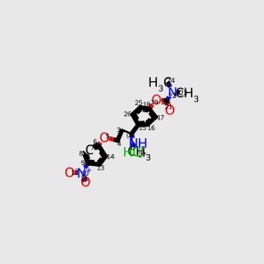 CN[C@@H](CCOc1ccc([N+](=O)[O-])cc1)c1ccc(OC(=O)N(C)C)cc1.Cl